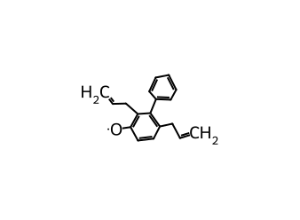 C=CCc1ccc([O])c(CC=C)c1-c1ccccc1